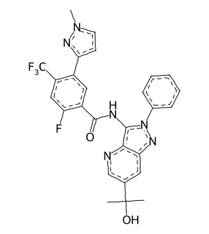 Cn1ccc(-c2cc(C(=O)Nc3c4ncc(C(C)(C)O)cc4nn3-c3ccccc3)c(F)cc2C(F)(F)F)n1